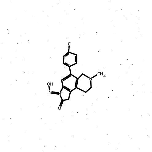 CN1CCc2c(c(-c3ccc(Cl)cc3)cc3c2CC(=O)[N+]3=NO)C1